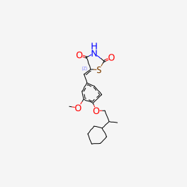 COc1cc(/C=C2\SC(=O)NC2=O)ccc1OCC(C)C1CCCCC1